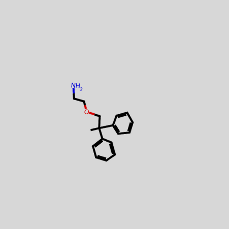 CC(COCCN)(c1ccccc1)c1ccccc1